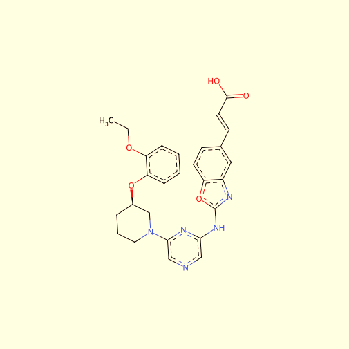 CCOc1ccccc1O[C@@H]1CCCN(c2cncc(Nc3nc4cc(/C=C/C(=O)O)ccc4o3)n2)C1